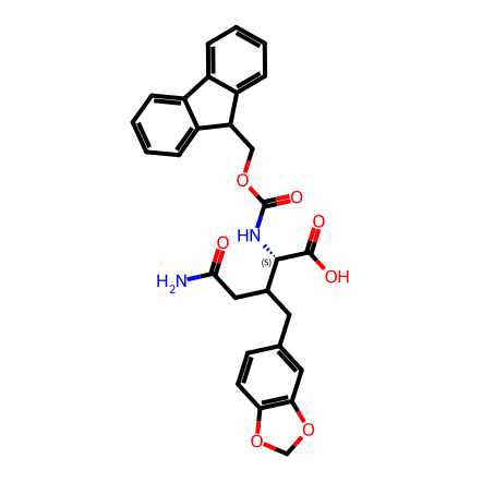 NC(=O)CC(Cc1ccc2c(c1)OCO2)[C@H](NC(=O)OCC1c2ccccc2-c2ccccc21)C(=O)O